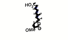 COC1=CC[C@@H]([C@@H](C)/C=C(C)/C=C/C=C/C(=O)O)OC1=O